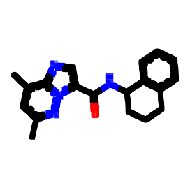 Cc1cc(C)c2ncc(C(=O)NC3CCCc4ccccc43)n2n1